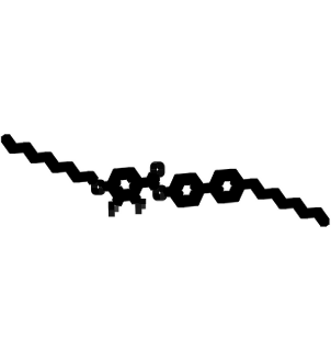 CCCCCCCCCOc1ccc(C(=O)Oc2ccc(-c3ccc(CCCCCCCC)cc3)cc2)c(F)c1F